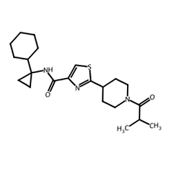 CC(C)C(=O)N1CCC(c2nc(C(=O)NC3(C4CCCCC4)CC3)cs2)CC1